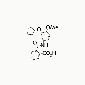 COc1ccc(NC(=O)c2ccccc2C(=O)O)cc1OC1CCCC1